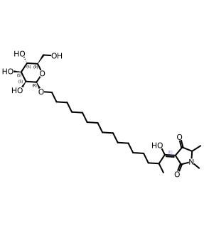 CC(CCCCCCCCCCCCCCO[C@@H]1O[C@H](CO)[C@@H](O)[C@H](O)[C@@H]1O)/C(O)=C1/C(=O)C(C)N(C)C1=O